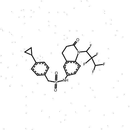 O=C1CCc2cc(NS(=O)(=O)Cc3ccc(C4CC4)cc3)ccc2N1C(F)C(F)(F)C(F)F